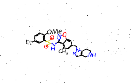 CCc1ccc(OC)c(S(=O)(=O)Nc2noc3cc(Cn4ncc5c4CCNC5)cc(C)c23)c1